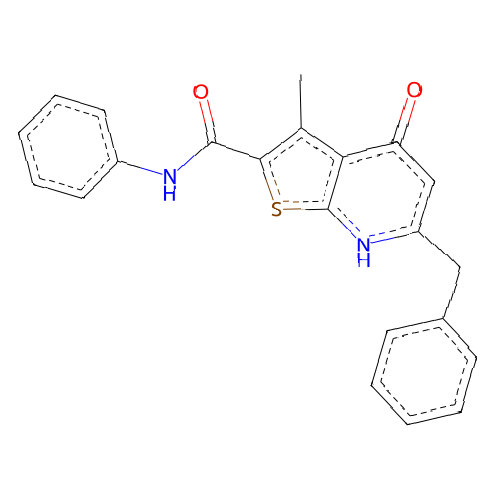 Cc1c(C(=O)Nc2ccccc2)sc2[nH]c(Cc3ccccc3)cc(=O)c12